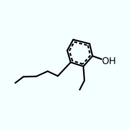 CCCCCc1cccc(O)c1CC